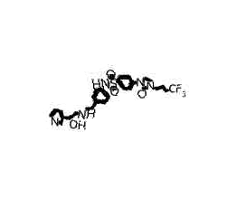 O=C1N(CCCC(F)(F)F)CCN1c1ccc(S(=O)(=O)Nc2ccc(CCNCC(O)c3cccnc3)cc2)cc1